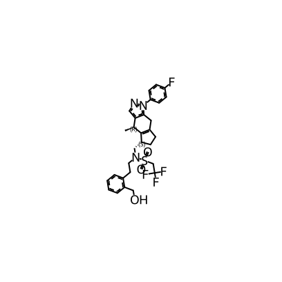 C[C@@H]1C2=C(CC[C@@H]2CN(CCc2ccccc2CO)S(=O)(=O)CC(F)(F)F)Cc2c1cnn2-c1ccc(F)cc1